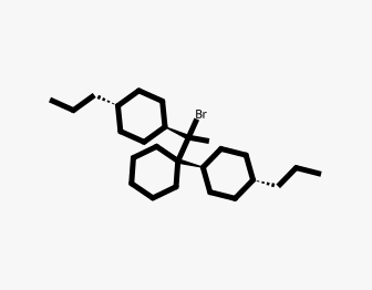 CCC[C@H]1CC[C@H](C(C)(Br)C2([C@H]3CC[C@H](CCC)CC3)CCCCC2)CC1